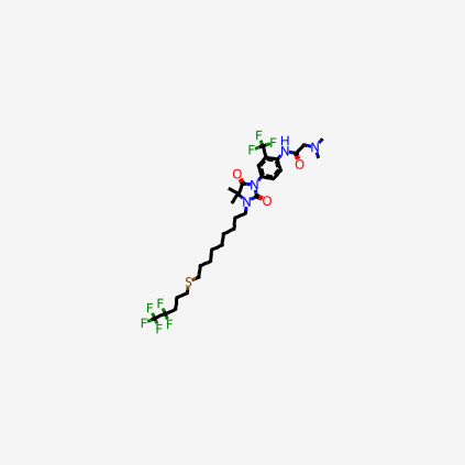 CN(C)CC(=O)Nc1ccc(N2C(=O)N(CCCCCCCCCSCCCC(F)(F)C(F)(F)F)C(C)(C)C2=O)cc1C(F)(F)F